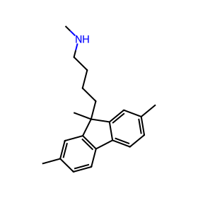 CNCCCCC1(C)c2cc(C)ccc2-c2ccc(C)cc21